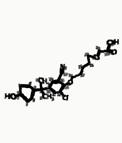 CC(C)(c1ccc(O)cc1)c1cc(Cl)c(OCCCCCOCC(=O)O)c(C#N)c1